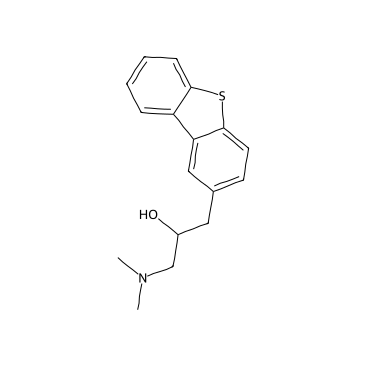 CN(C)CC(O)Cc1ccc2sc3ccccc3c2c1